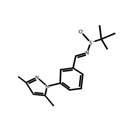 Cc1cc(C)n(-c2cccc(C=N[S+]([O-])C(C)(C)C)c2)n1